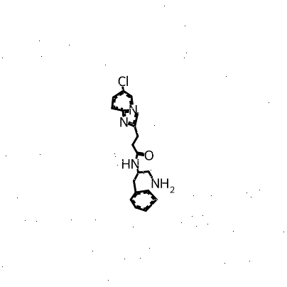 NCC(Cc1ccccc1)NC(=O)CCc1cn2cc(Cl)ccc2n1